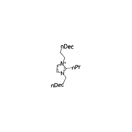 CCCCCCCCCCCC[n+]1ccn(CCCCCCCCCCC)c1CCC